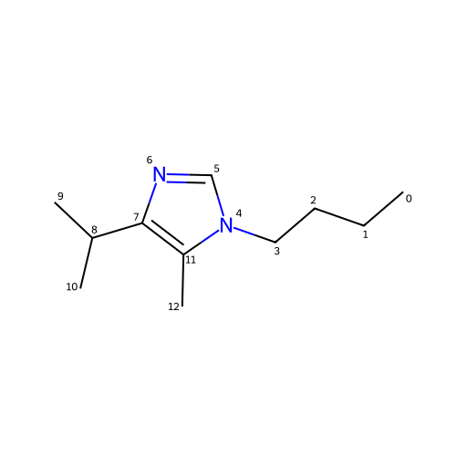 CCCCn1cnc(C(C)C)c1C